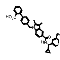 Cc1c(C)n(Cc2ccc(-c3ccccc3C(=O)O)cc2)c2ccc(C(=O)N[C@H](c3cccc(C(C)C)c3)C3CC3)cc12